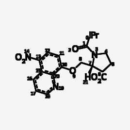 CC(C)C(=O)N1CCC[C@@]1(COc1ccc([N+](=O)[O-])c2cccnc12)C(=O)O